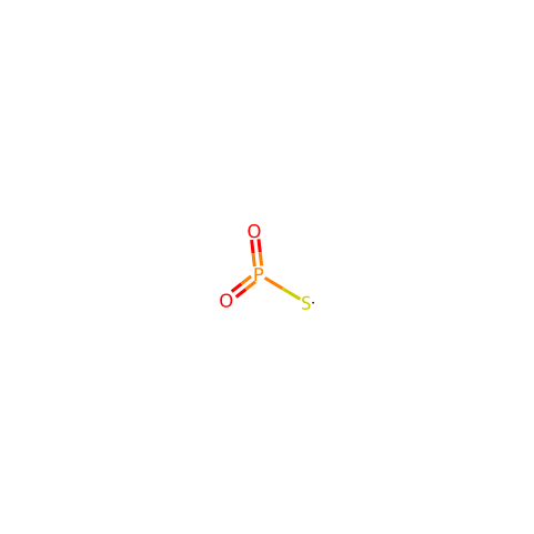 O=P(=O)[S]